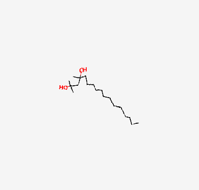 CCCCCCCCCCCCCC(C)(O)CC(C)(C)O